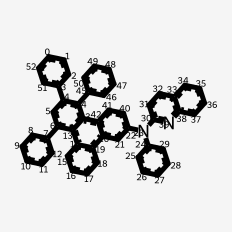 c1ccc(-c2cc(-c3ccccc3)c3c4ccccc4c4cc(N(c5ccccc5)c5ccc6ccccc6n5)ccc4c3c2-c2ccccc2)cc1